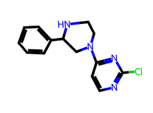 Clc1nccc(N2CCNC(c3ccccc3)C2)n1